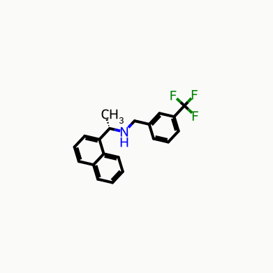 C[C@H](NCc1cccc(C(F)(F)F)c1)c1cccc2ccccc12